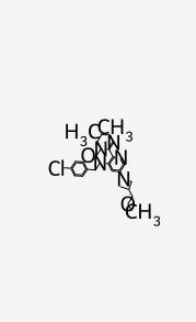 COCC1CN(c2cnc3c(c2)N(Cc2ccc(Cl)cc2)C(=O)N2CC(C)(C)CN=C32)C1